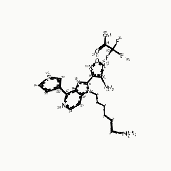 NCCCCCCn1c(-c2nonc2N)nc2c(-c3ccsc3)nccc21.O=C(O)C(F)(F)F